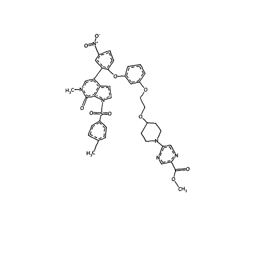 COC(=O)c1cnc(N2CCC(OCCOc3cccc(Oc4ccc([N+](=O)[O-])cc4-c4cn(C)c(=O)c5c4ccn5S(=O)(=O)c4ccc(C)cc4)c3)CC2)cn1